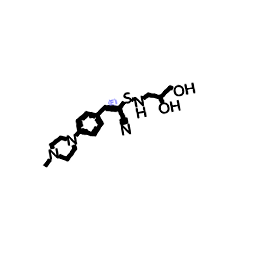 CN1CCN(c2ccc(/C=C(\C#N)SNCC(O)CO)cc2)CC1